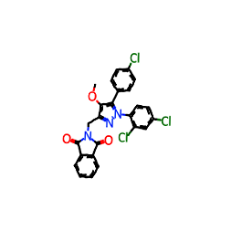 COc1c(CN2C(=O)c3ccccc3C2=O)nn(-c2ccc(Cl)cc2Cl)c1-c1ccc(Cl)cc1